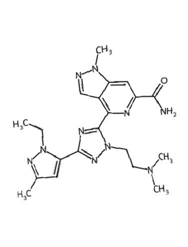 CCn1nc(C)cc1-c1nc(-c2nc(C(N)=O)cc3c2cnn3C)n(CCN(C)C)n1